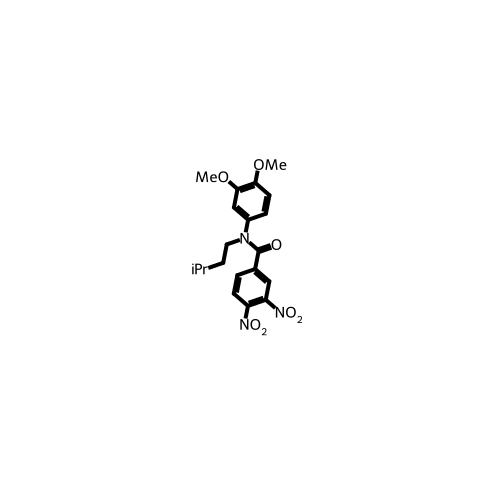 COc1ccc(N(CCC(C)C)C(=O)c2ccc([N+](=O)[O-])c([N+](=O)[O-])c2)cc1OC